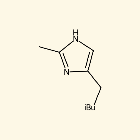 CCC(C)Cc1c[nH]c(C)n1